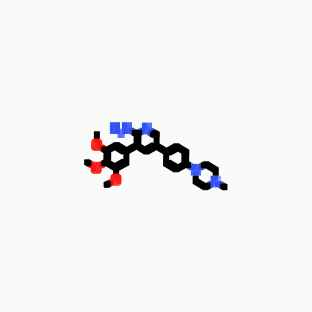 COc1cc(-c2cc(-c3ccc(N4CCN(C)CC4)cc3)cnc2N)cc(OC)c1OC